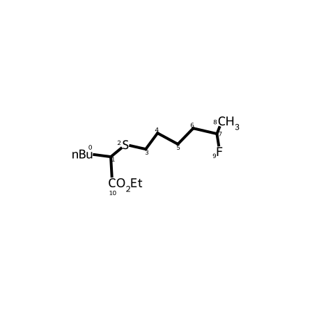 CCCCC(SCCCCC(C)F)C(=O)OCC